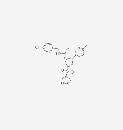 Cn1cnc(S(=O)(=O)N2C[C@H](C(=O)NCc3ccc(Cl)cc3)[C@@H](c3ccc(F)cc3)C2)c1